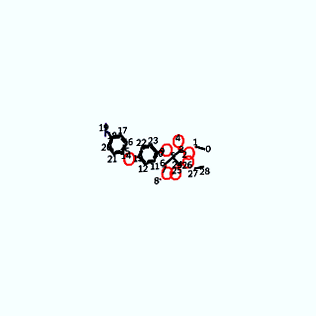 CCOC(=O)C(COC)(Oc1ccc(Oc2ccc(I)cc2)cc1)C(=O)OCC